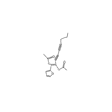 CCCC#CC#CC(OC(C)=O)=C(OC(C)=O)c1ccco1